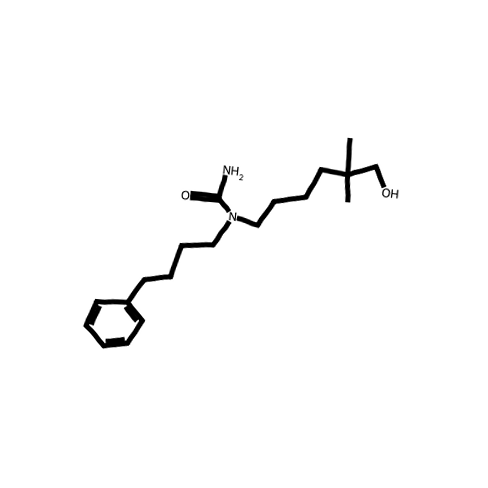 CC(C)(CO)CCCCN(CCCCc1ccccc1)C(N)=O